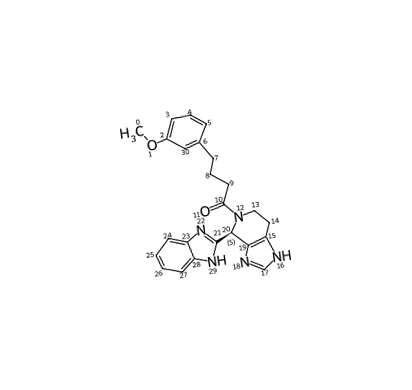 COc1cccc(CCCC(=O)N2CCc3[nH]cnc3[C@H]2c2nc3ccccc3[nH]2)c1